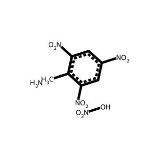 Cc1c([N+](=O)[O-])cc([N+](=O)[O-])cc1[N+](=O)[O-].N.O=[N+]([O-])O